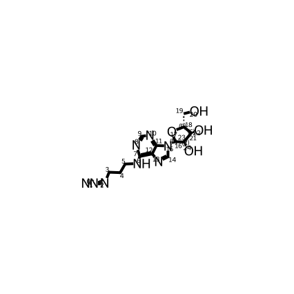 [N-]=[N+]=NCCCNc1ncnc2c1ncn2[C@@H]1O[C@H](CO)[C@@H](O)[C@H]1O